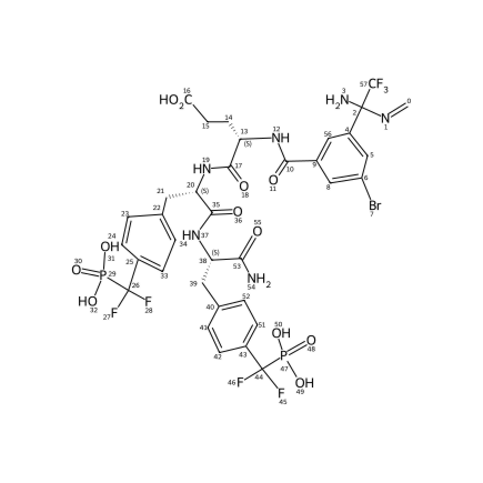 C=NC(N)(c1cc(Br)cc(C(=O)N[C@@H](CCC(=O)O)C(=O)N[C@@H](Cc2ccc(C(F)(F)P(=O)(O)O)cc2)C(=O)N[C@@H](Cc2ccc(C(F)(F)P(=O)(O)O)cc2)C(N)=O)c1)C(F)(F)F